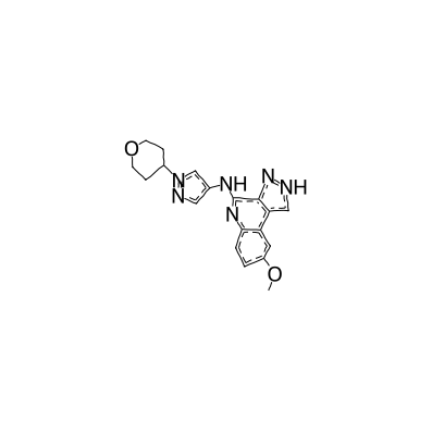 COc1ccc2nc(Nc3cnn(C4CCOCC4)c3)c3n[nH]cc3c2c1